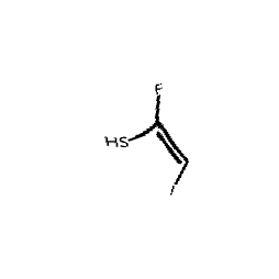 FC(S)=CI